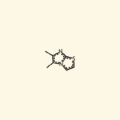 Cc1nc2sccn2c1C